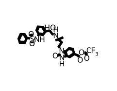 CC(C)(CCn1c(=O)[nH]c2cc(C(=O)OC(=O)C(F)(F)F)ccc21)NCC(O)c1cccc(NS(=O)(=O)c2ccccc2)c1